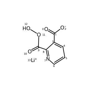 O=C([O-])c1cccnc1C(=O)OO.[Li+]